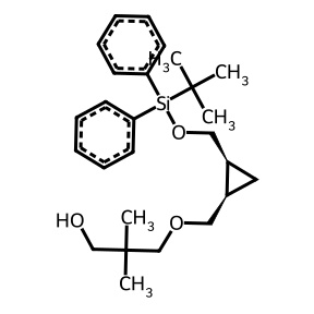 CC(C)(CO)COC[C@@H]1C[C@@H]1CO[Si](c1ccccc1)(c1ccccc1)C(C)(C)C